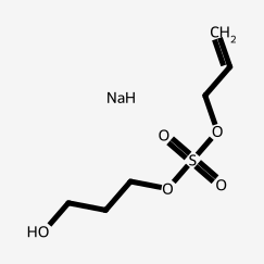 C=CCOS(=O)(=O)OCCCO.[NaH]